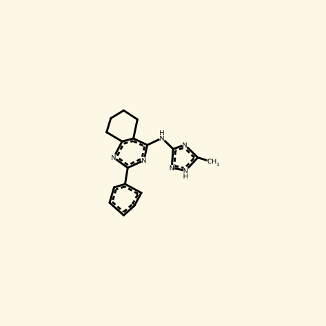 Cc1nc(Nc2nc(-c3ccccc3)nc3c2CCCC3)n[nH]1